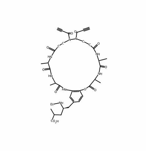 C#CC(=O)N1CCC(=O)NC(C)C(=O)NC(C)C(=O)Nc2cc(C[C@@H](CC(C)C(=O)O)NCC)ccc2OC(=O)C(C)NC(=O)C(C)NC(=O)CCN1C(=O)C#C